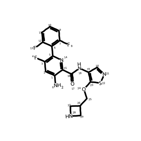 Nc1cc(F)c(-c2c(F)cccc2F)nc1C(=O)Nc1cnsc1OCC1CNC1